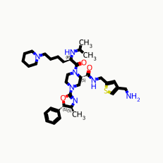 CC(C)N[C@H](CCCCN1CCCCC1)C(=O)N1CCN(C2=N[C@@H](C)[C@H](c3ccccc3)O2)C[C@H]1C(=O)NCc1cc(CN)cs1